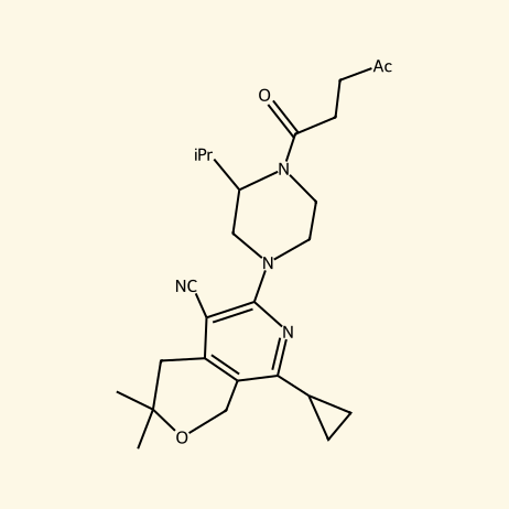 CC(=O)CCC(=O)N1CCN(c2nc(C3CC3)c3c(c2C#N)CC(C)(C)OC3)CC1C(C)C